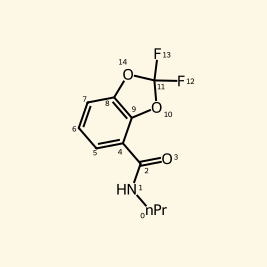 CCCNC(=O)c1cccc2c1OC(F)(F)O2